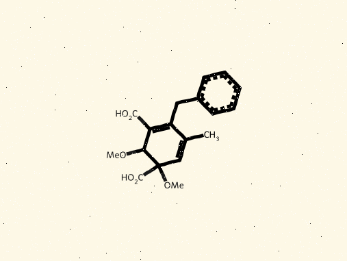 COC1C(C(=O)O)=C(Cc2ccccc2)C(C)=CC1(OC)C(=O)O